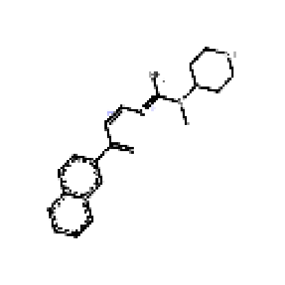 C=C(/C=C\N=C(/N)N(C)C1CCNCC1)c1ccc2ccccc2c1